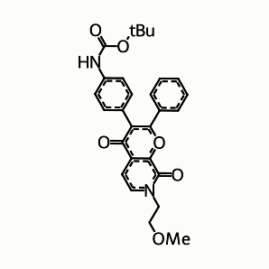 COCCn1ccc2c(=O)c(-c3ccc(NC(=O)OC(C)(C)C)cc3)c(-c3ccccc3)oc2c1=O